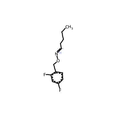 CCCC/[C]=N/OCc1ccc(F)cc1F